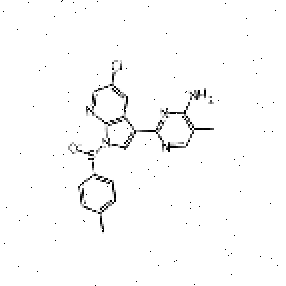 Cc1ccc([S+]([O-])n2cc(-c3ncc(C)c(N)n3)c3cc(Cl)cnc32)cc1